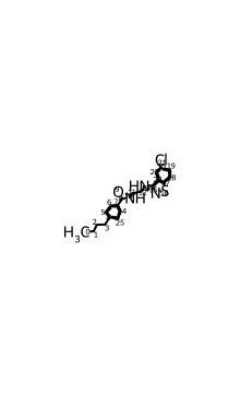 CCCCc1ccc(C(=O)NCCNc2nsc3ccc(Cl)cc23)cc1